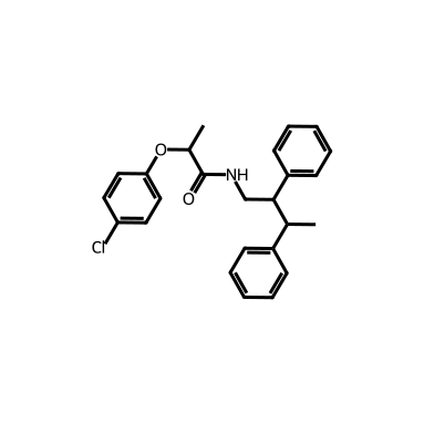 CC(Oc1ccc(Cl)cc1)C(=O)NCC(c1ccccc1)C(C)c1ccccc1